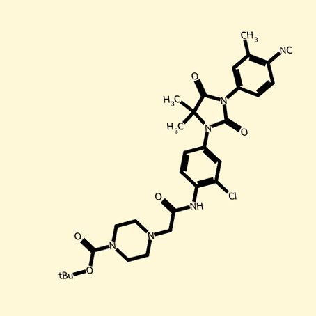 [C-]#[N+]c1ccc(N2C(=O)N(c3ccc(NC(=O)CN4CCN(C(=O)OC(C)(C)C)CC4)c(Cl)c3)C(C)(C)C2=O)cc1C